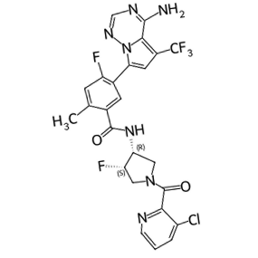 Cc1cc(F)c(-c2cc(C(F)(F)F)c3c(N)ncnn23)cc1C(=O)N[C@@H]1CN(C(=O)c2ncccc2Cl)C[C@@H]1F